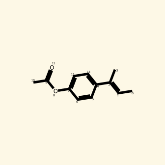 C/C=C(\C)c1ccc(OC(C)=O)cc1